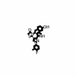 Cc1cc(-n2cc([C@H]3SCC(=O)N3CCc3ccc(O)cc3)c(-c3ccc[nH]3)n2)ccc1F